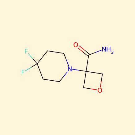 NC(=O)C1(N2CCC(F)(F)CC2)COC1